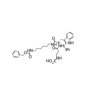 CC(C)Cc1[nH]c2ccccc2c1C[C@H](NC(=O)CCNC(=O)O)C(=O)NCCCCCCNC(=O)OCc1ccccc1